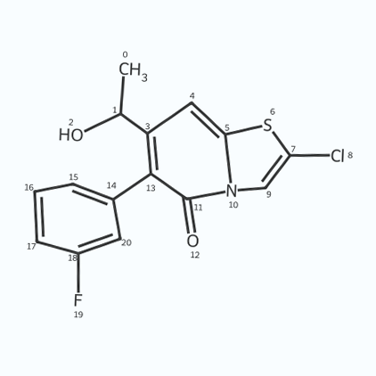 CC(O)c1cc2sc(Cl)cn2c(=O)c1-c1cccc(F)c1